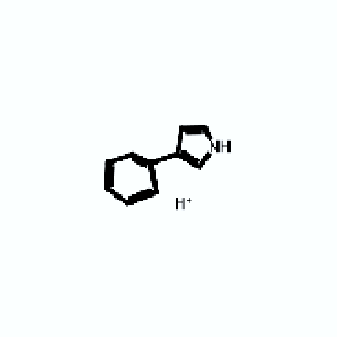 [H+].c1ccc(-c2cc[nH]c2)cc1